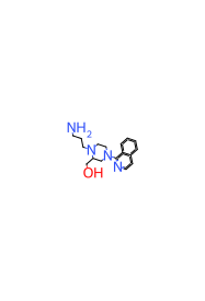 NCCCN1CCN(c2nccc3ccccc23)CC1CO